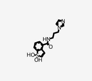 O=C(NCCCn1ccnc1)c1cccc2c1C=CS2(O)O